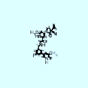 CC1=CC(N2CCC(C#N)(C3CC3)C2=O)=CC(C(=O)CNCc2cc(F)cc(C3=CNC(F)C(C)=C3)c2)N1